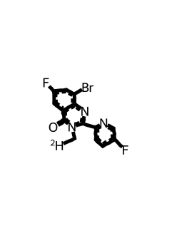 [2H]Cn1c(-c2ccc(F)cn2)nc2c(Br)cc(F)cc2c1=O